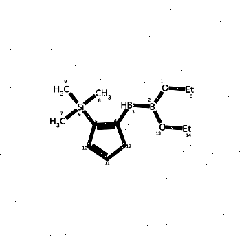 CCOB(BC1=C([Si](C)(C)C)C=CC1)OCC